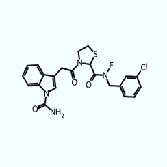 NC(=O)n1cc(CC(=O)N2CCSC2C(=O)N(F)Cc2cccc(Cl)c2)c2ccccc21